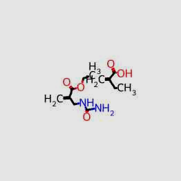 C=C(CC)C(=O)O.C=C(CNC(N)=O)C(=O)OCC